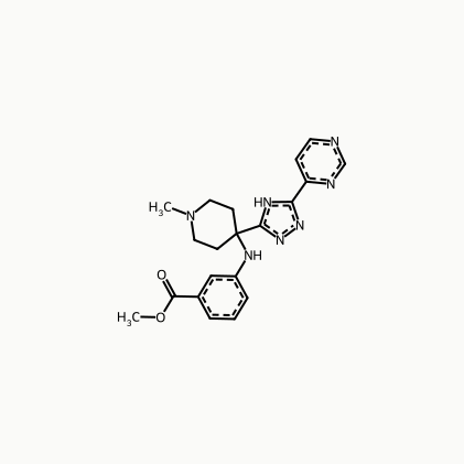 COC(=O)c1cccc(NC2(c3nnc(-c4ccncn4)[nH]3)CCN(C)CC2)c1